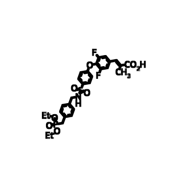 CCOP(=O)(Cc1ccc(CNS(=O)(=O)c2ccc(Oc3c(F)cc(C=C(C)C(=O)O)cc3F)cc2)cc1)OCC